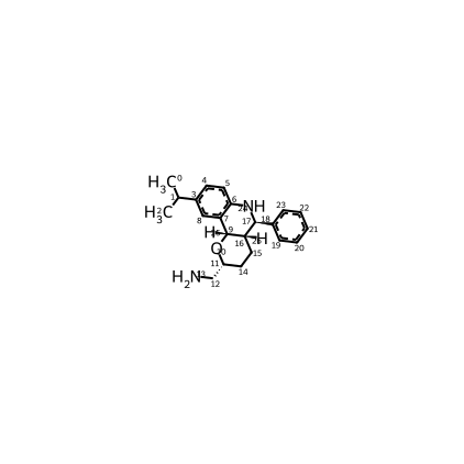 CC(C)c1ccc2c(c1)[C@H]1O[C@@H](CN)CC[C@H]1[C@H](c1ccccc1)N2